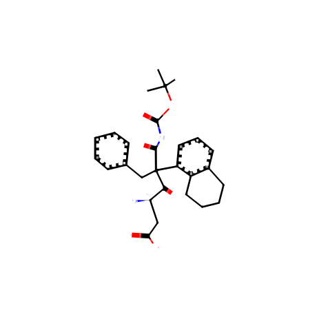 CC(C)(C)OC(=O)NC(=O)C(Cc1ccccc1)(C(=O)[C@H](N)CC(=O)O)c1cccc2c1CCCC2